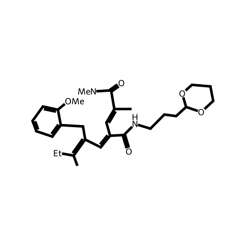 CC/C(C)=C(/C=C(\C=C(/C)C(=O)NC)C(=O)NCCCC1OCCCO1)Cc1ccccc1OC